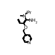 C=C/C(OCc1ccncc1)=C(/N)N(C)C(C)C